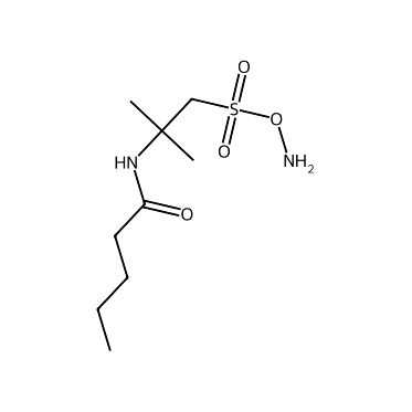 CCCCC(=O)NC(C)(C)CS(=O)(=O)ON